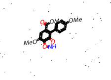 COC(=O)c1cc(OC)c2c(c1-c1ccc(OC)cc1)ONO2